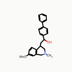 COc1ccc2c(c1)CN(C)CC2CC(O)c1ccc(-c2ccccc2)cc1